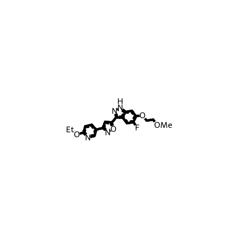 CCOc1ccc(-c2cc(-c3n[nH]c4cc(OCCOC)c(F)cc34)on2)cn1